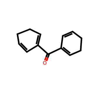 O=C(C1=CCCC=C1)C1=CCCC=C1